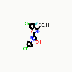 O=C(O)CC(NC(=O)c1cc(O)n(-c2ccc(Cl)cc2)n1)c1ccc(Cl)cc1F